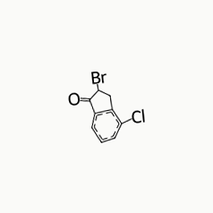 O=C1c2cccc(Cl)c2CC1Br